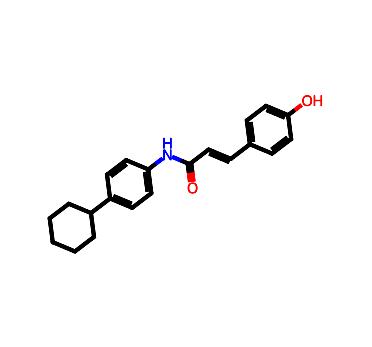 O=C(/C=C/c1ccc(O)cc1)Nc1ccc(C2CCCCC2)cc1